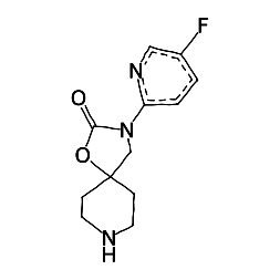 O=C1OC2(CCNCC2)CN1c1ccc(F)cn1